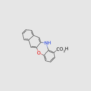 O=C(O)c1cccc2c1Nc1cc3ccccc3cc1O2